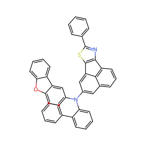 c1ccc(-c2nc3c(s2)-c2cc(N(c4ccc5oc6ccccc6c5c4)c4ccccc4-c4ccccc4)cc4cccc-3c24)cc1